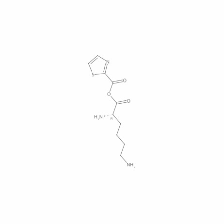 NCCCC[C@H](N)C(=O)OC(=O)c1nccs1